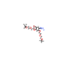 C[Si](C)(C)OCCOCCOc1cc(OCCOCCO[Si](C)(C)C)c(Br)cc1N